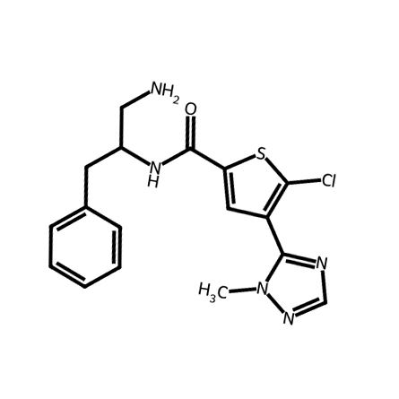 Cn1ncnc1-c1cc(C(=O)NC(CN)Cc2ccccc2)sc1Cl